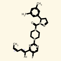 C/C=C\C=C(/C(C)=O)c1nc(N2CCN(C(=O)N3N=CCC3c3cc(C)cc(P)c3)CC2)ncc1F